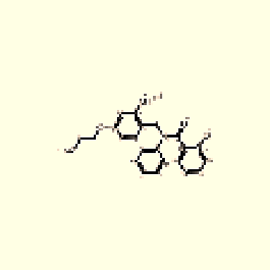 CCCCCCCCCCCCOc1ccc(CN(C(=O)c2cccc[n+]2CC)c2ccccc2)c(C)c1.[I-]